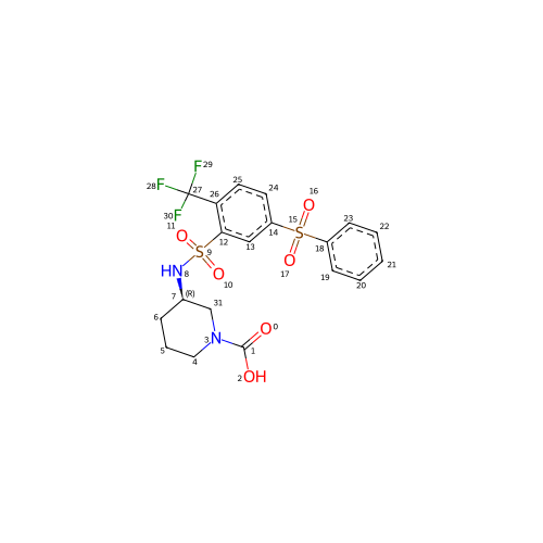 O=C(O)N1CCC[C@@H](NS(=O)(=O)c2cc(S(=O)(=O)c3ccccc3)ccc2C(F)(F)F)C1